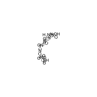 Nc1nnc(-c2ccccc2O)cc1N1CCC(C(=O)N2CC3(CCN(C(=O)C4CCN(c5ccc6c(c5)C(=O)N(C5CCC(=O)NC5=O)C6=O)CC4)C3)C2)(c2ccccc2)CC1